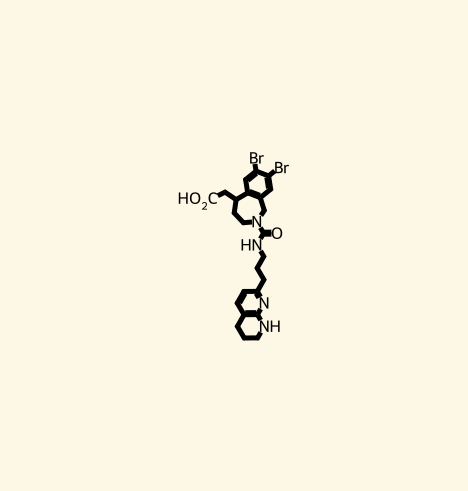 O=C(O)CC1CCN(C(=O)NCCCc2ccc3c(n2)NCCC3)Cc2cc(Br)c(Br)cc21